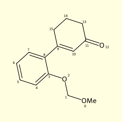 COCOc1ccccc1C1=CC(=O)CCC1